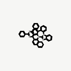 C1=Cc2ccc(-c3nc(-c4ccccc4)nc(-c4ccccc4)n3)c(N3c4ccccc4-c4ccccc4-n4c3nc3ccccc34)c2CC1